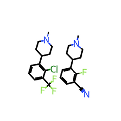 CN1CCC(c2cccc(C#N)c2F)CC1.CN1CCC(c2cccc(C(F)(F)F)c2Cl)CC1